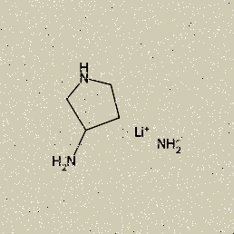 NC1CCNC1.[Li+].[NH2-]